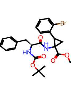 COC(=O)C1(NC(=O)[C@H](Cc2ccccc2)NC(=O)OC(C)(C)C)CC1c1ccccc1Br